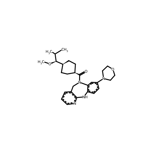 CO[C@@H](C(C)C)[C@H]1CC[C@@H](C(=O)N2Cc3cccnc3Nc3ccc(N4CCOCC4)cc32)CC1